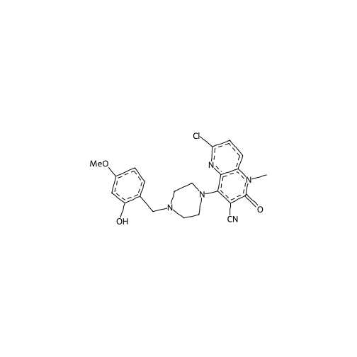 COc1ccc(CN2CCN(c3c(C#N)c(=O)n(C)c4ccc(Cl)nc34)CC2)c(O)c1